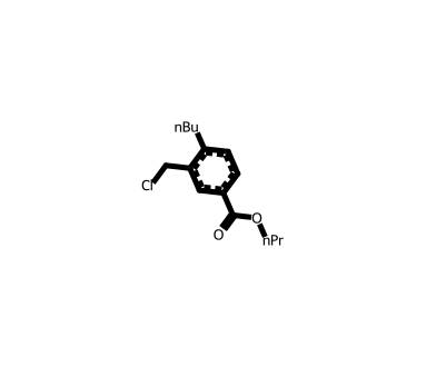 CCCCc1ccc(C(=O)OCCC)cc1CCl